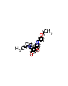 CCCOc1cccc(CN2CCC3(CC2)COc2cc(C=O)c(CN(C)C(C)CCC)cc23)c1